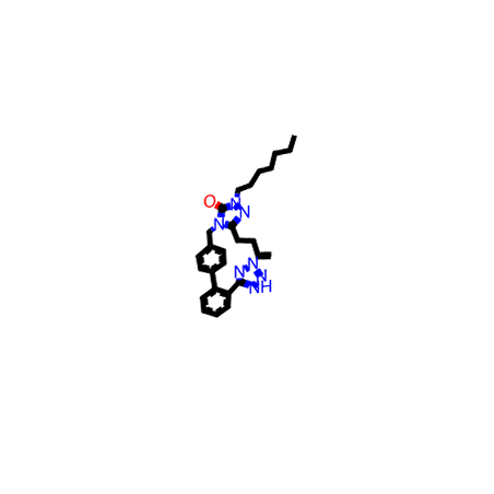 C=CCCc1nn(CCCCCCC)c(=O)n1Cc1ccc(-c2ccccc2-c2nnn[nH]2)cc1